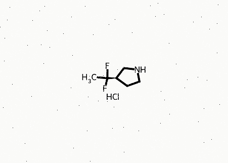 CC(F)(F)[C@@H]1CCNC1.Cl